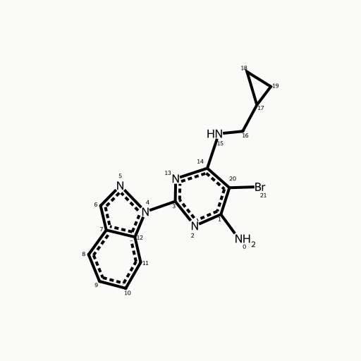 Nc1nc(-n2ncc3ccccc32)nc(NCC2CC2)c1Br